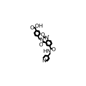 Cn1c(=O)n(Cc2ccc(C(=O)O)cc2)c(=O)c2cc(C(=O)NCc3ccncc3)ccc21